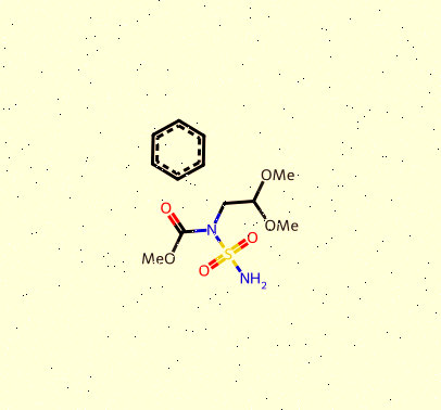 COC(=O)N(CC(OC)OC)S(N)(=O)=O.c1ccccc1